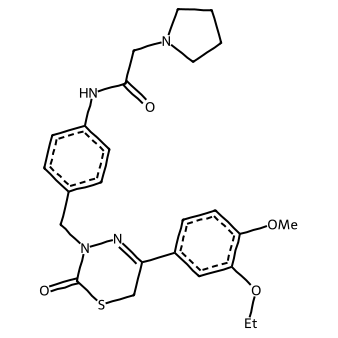 CCOc1cc(C2=NN(Cc3ccc(NC(=O)CN4CCCC4)cc3)C(=O)SC2)ccc1OC